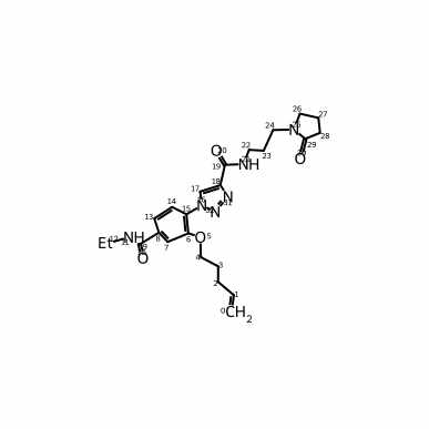 C=CCCCOc1cc(C(=O)NCC)ccc1-n1cc(C(=O)NCCCN2CCCC2=O)nn1